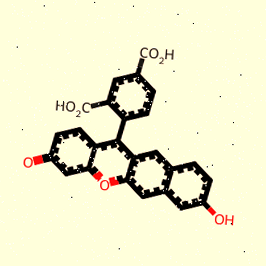 O=C(O)c1ccc(-c2c3ccc(=O)cc-3oc3cc4cc(O)ccc4cc23)c(C(=O)O)c1